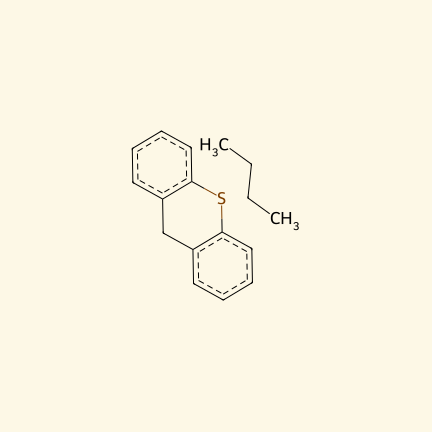 CCCC.c1ccc2c(c1)Cc1ccccc1S2